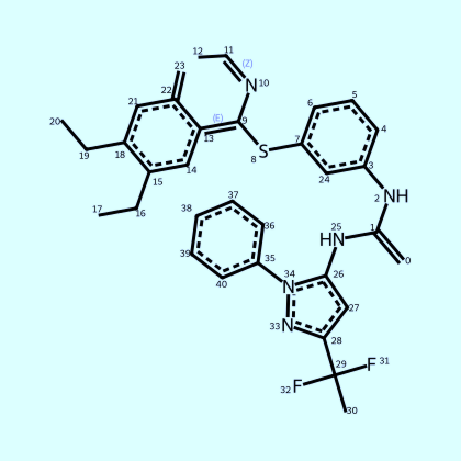 C=C(Nc1cccc(SC(/N=C\C)=c2\cc(CC)c(CC)cc2=C)c1)Nc1cc(C(C)(F)F)nn1-c1ccccc1